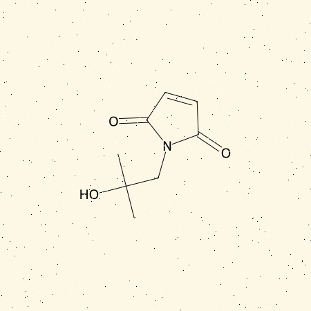 CC(C)(O)CN1C(=O)C=CC1=O